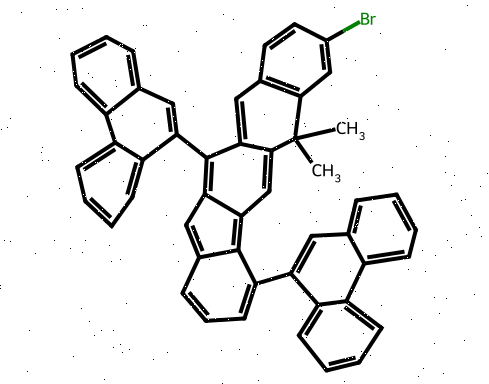 CC1(C)c2cc(Br)ccc2C=c2c1cc1c(c2-c2cc3ccccc3c3ccccc23)C=c2cccc(-c3cc4ccccc4c4ccccc34)c2=1